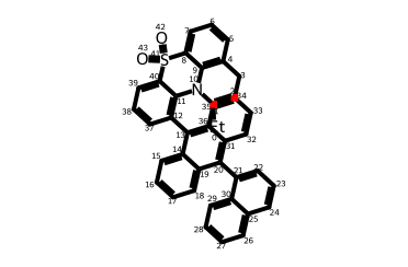 CCC1=CCc2cccc3c2N1c1c(-c2c4ccccc4c(-c4cccc5ccccc45)c4ccccc24)cccc1S3(=O)=O